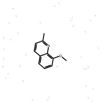 [CH2]Oc1cccc2ccc(C)nc12